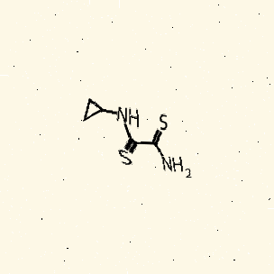 NC(=S)C(=S)NC1CC1